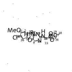 COc1cc(C(C)C)c(Oc2cnc(N[C@@H](C)C34OCC(C)(CO3)CO4)nc2N)cc1Cl